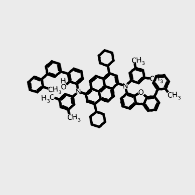 Cc1cc(C)cc(N(c2cccc(-c3cccc(-c4ccccc4C)c3)c2O)c2cc(C3CCCCC3)c3ccc4c(N(c5cc(C)cc(C)c5)c5cccc6c5oc5c(-c7ccccc7C)cccc56)cc(C5CCCCC5)c5ccc2c3c54)c1